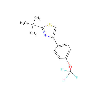 CC(C)(C)c1nc(-c2ccc(OC(F)(F)F)cc2)cs1